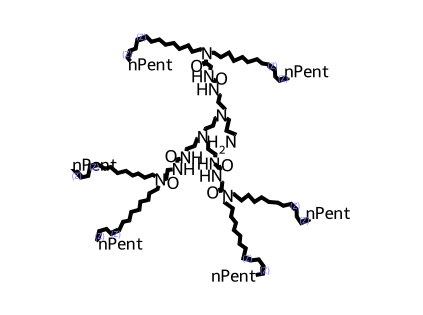 CCCCC/C=C\C/C=C\CCCCCCCCN(CCCCCCCC/C=C\C/C=C\CCCCC)C(=O)CNC(=O)NCCCN(CCCN)CCCN(CCCNC(=O)NCC(=O)N(CCCCCCCC/C=C\C/C=C\CCCCC)CCCCCCCC/C=C\C/C=C\CCCCC)CCCNC(=O)NCC(=O)N(CCCCCCCC/C=C\C/C=C\CCCCC)CCCCCCCC/C=C\C/C=C\CCCCC